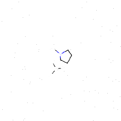 CCCCN1CCCC1.C[CH2][Al]([CH2]C)[CH2]C